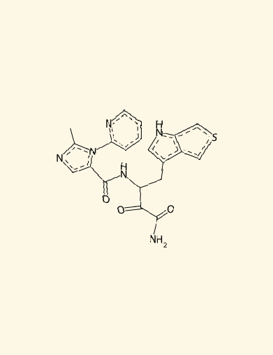 Cc1ncc(C(=O)NC(Cc2c[nH]c3cscc23)C(=O)C(N)=O)n1-c1ccccn1